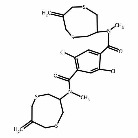 C=C1CSCC(N(C)C(=O)c2cc(Cl)c(C(=O)N(C)C3CSCC(=C)CSC3)cc2Cl)CSC1